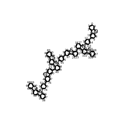 c1ccc2c(c1)oc1ccc(-c3ccc(-n4c5cccc(-c6cccc7c6sc6ccc(-c8ccc(-n9c%10cccc(-c%11ccc%12oc%13cc(-c%14ccc(-n%15c%16ccccc%16c%16ccc%17c%18ccccc%18sc%17c%16%15)cc%14)ccc%13c%12c%11)c%10c%10ccc%11c%12ccccc%12sc%11c%109)cc8)cc67)c5c5ccc6c7ccccc7sc6c54)cc3)cc12